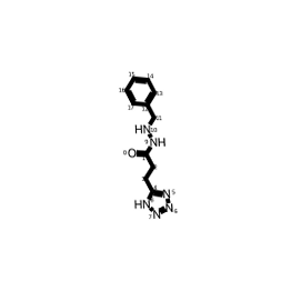 O=C(CCc1nnn[nH]1)NNCc1ccccc1